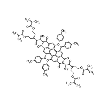 C=C(C)C(=O)OCCN(CCOC(=O)C(=C)C)C(=O)C(CCC)N1C(=O)c2cc(Oc3ccc(C)cc3)c3c4c(Oc5ccc(C)cc5)cc5c6c(cc(Oc7ccc(C)cc7)c(c7c(Oc8ccc(C)cc8)cc(c2c37)C1=O)c64)C(=O)N(C(CCC)C(=O)N(CCOC(=O)C(=C)C)CCOC(=O)C(=C)C)C5=O